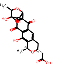 CC1OC2CC(O)C1(O)C1=C2C(=O)c2cc3c(c(O)c2C1=O)[C@H](C)O[C@@H](CC(=O)O)C3